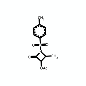 CC(=O)OC1C(=O)N(S(=O)(=O)c2ccc(C)cc2)C1C